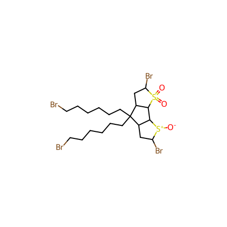 O=S1(=O)C(Br)CC2C1C1C(CC(Br)[S+]1[O-])C2(CCCCCCBr)CCCCCCBr